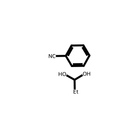 CCC(O)O.N#Cc1ccccc1